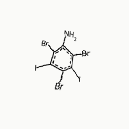 Nc1c(Br)c(I)c(Br)c(I)c1Br